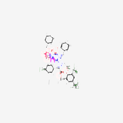 C[C@@H](O[C@H]1OCCN(c2nn(P(=O)(O)OCc3ccccc3)c(=O)n2Cc2ccccc2)[C@H]1c1ccc(F)cc1)c1cc(C(F)(F)F)cc(C(F)(F)F)c1